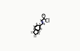 O=C(Cl)/C=C/c1ccc2c(c1)CCC2